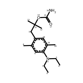 CCN(CC)c1cc(C)c(CC(C)(C)OC(N)=O)cc1C